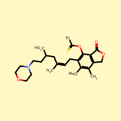 CCC(=S)Oc1c(CC=C(C)CC(CCN2CCOCC2)C(=O)O)c(OC)c(C)c2c1C(=O)OC2